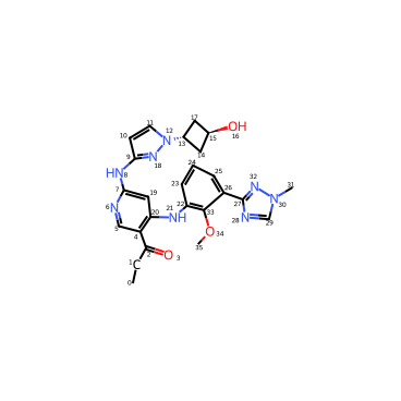 CCC(=O)c1cnc(Nc2ccn([C@H]3C[C@H](O)C3)n2)cc1Nc1cccc(-c2ncn(C)n2)c1OC